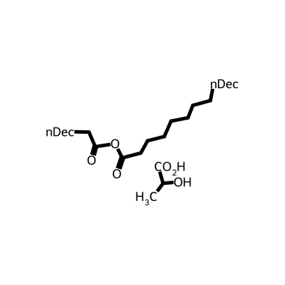 CC(O)C(=O)O.CCCCCCCCCCCCCCCCCC(=O)OC(=O)CCCCCCCCCCC